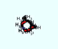 COc1ccc(CC[C@H]2OC(=O)[C@@H]3CCCCN3C(=O)C(=O)C(C)(C)CCC(=O)/C=C/CCN(C)C(=O)[C@H](CC(C)C)N(C)C(=O)[C@H]3CCCN3C(=O)[C@H](Cc3ccc(OCC(=O)O)cc3)NC(=O)[C@H](c3ccccc3)NC(=O)CCC(=O)Nc3cccc2c3)cc1OC